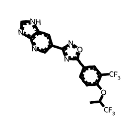 CC(Oc1ccc(-c2nc(-c3cnc4nc[nH]c4c3)no2)cc1C(F)(F)F)C(F)(F)F